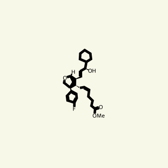 COC(=O)CCC/C=C\C[C@H]1[C@H](/C=C/[C@@H](O)C2CCCCC2)[C@@H]2C[C@@]1(c1ccc(F)cc1)CO2